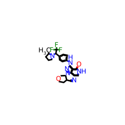 CC1CCCN1C(c1ccc(Nc2nn(C3COCCC3C#N)c3cc[nH]c(=O)c23)cc1)C(F)(F)F